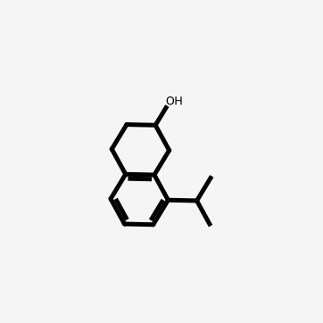 CC(C)c1cccc2c1CC(O)CC2